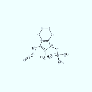 CC1=[C]([Ti+3])C2=C(CCCC2)C1C[Si](C)(C)C(C)(C)C.[Cl-].[Cl-].[Cl-]